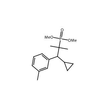 COP(=O)(OC)C(C)(C)C(c1cccc(C)c1)C1CC1